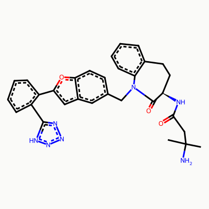 CC(C)(N)CC(=O)N[C@@H]1CCc2ccccc2N(Cc2ccc3oc(-c4ccccc4-c4nnn[nH]4)cc3c2)C1=O